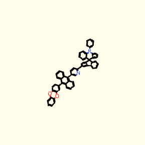 c1ccc(N2c3ccccc3C3(c4ccccc4-c4cc(-c5ccc(-c6c7ccccc7c(-c7ccc8c(c7)Oc7ccccc7O8)c7ccccc67)cn5)ccc43)c3ccccc32)cc1